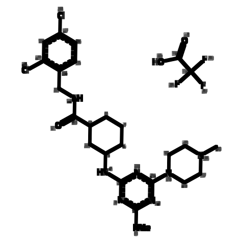 CNc1nc(NC2CCCC(C(=O)NCc3ccc(Cl)cc3Cl)C2)nc(N2CCN(C)CC2)n1.O=C(O)C(F)(F)F